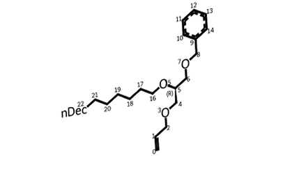 C=CCOC[C@H](COCc1ccccc1)OCCCCCCCCCCCCCCCC